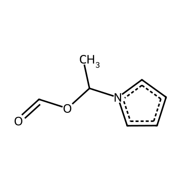 CC(OC=O)n1cccc1